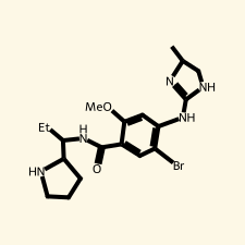 CCC(NC(=O)c1cc(Br)c(NC2=NC(C)CN2)cc1OC)C1CCCN1